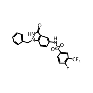 O=c1[nH]n(Cc2ccccc2)c2ccc(NS(=O)(=O)c3ccc(F)c(C(F)(F)F)c3)cc12